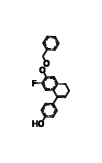 Oc1ccc(C2=CCCc3cc(OOCc4ccccc4)c(F)cc32)cc1